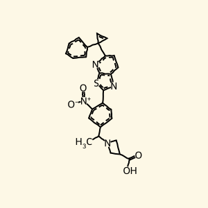 CC(c1ccc(-c2nc3ccc(C4(c5ccccc5)C=C4)nc3s2)c([N+](=O)[O-])c1)N1CC(C(=O)O)C1